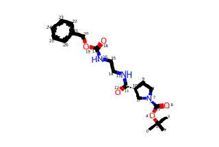 CC(C)(C)OC(=O)N1CC[C@@H](C(=O)NCCNC(=O)OCc2ccccc2)C1